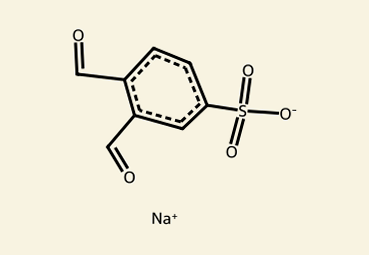 O=Cc1ccc(S(=O)(=O)[O-])cc1C=O.[Na+]